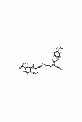 CC#CN(CCCOC#CCNc1cc(C(=O)OC)ccc1OC)C(=O)Cc1ccc(OC)cc1